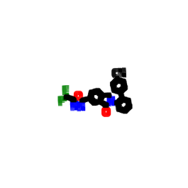 N#Cc1ccc(-c2ccccc2N2Cc3ccc(-c4nnc(C(F)F)o4)cc3C2=O)cc1